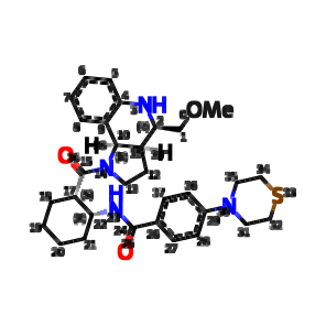 COC[C@@H]1Nc2ccccc2[C@H]2[C@@H]1CCN2C(=O)[C@H]1CCCC[C@H]1NC(=O)c1ccc(N2CCSCC2)cc1